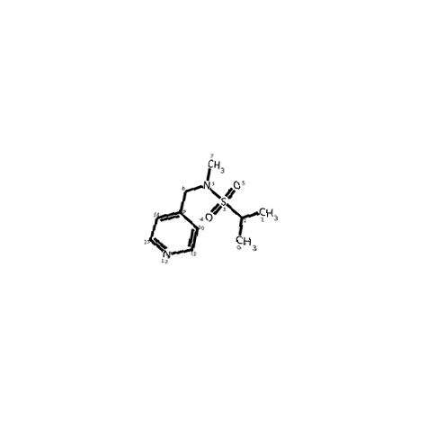 CC(C)S(=O)(=O)N(C)Cc1ccncc1